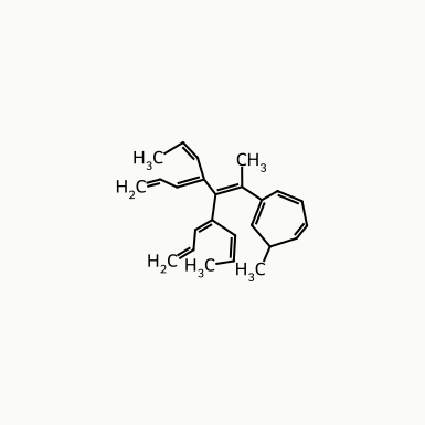 C=C/C=C(\C=C/C)C(=C(C)C1=CC(C)C=CC=C1)C(/C=C\C)=C/C=C